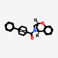 O=C(N1C[C@@H]2C[C@H]1c1ccccc1O2)C12CCC(c3ccccc3)(CC1)CC2